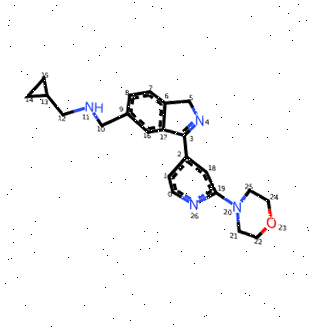 c1cc(C2=NCc3ccc(CNCC4CC4)cc32)cc(N2CCOCC2)n1